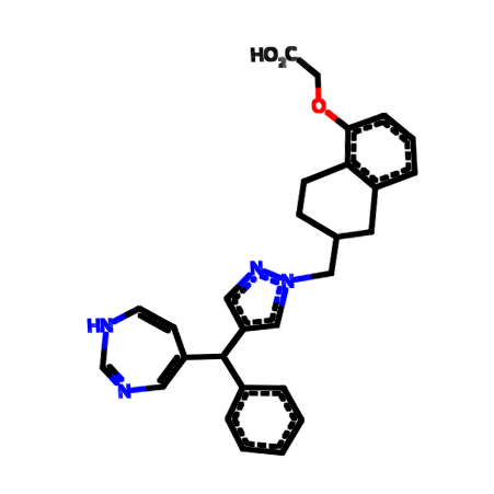 O=C(O)COc1cccc2c1CCC(Cn1cc(C(C3=CN=CNC=C3)c3ccccc3)cn1)C2